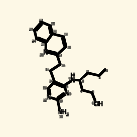 CCC[C@@H](CCO)Nc1nc(N)ncc1CCc1ccc2ccccc2n1